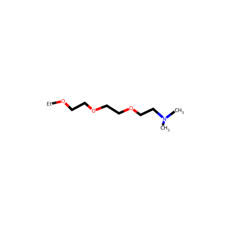 [CH2]COCCOCCOCCN(C)C